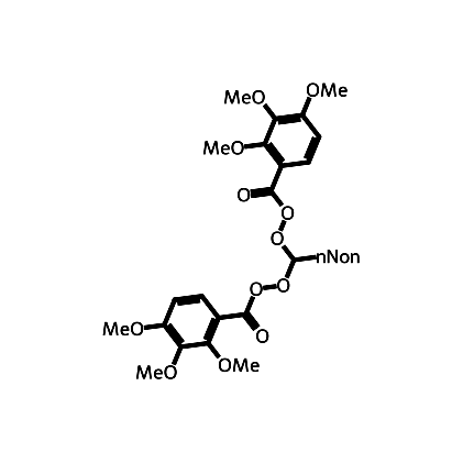 [CH2]CCCCCCCC[C](OOC(=O)c1ccc(OC)c(OC)c1OC)OOC(=O)c1ccc(OC)c(OC)c1OC